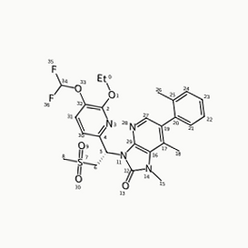 CCOc1nc([C@@H](CS(C)(=O)=O)n2c(=O)n(C)c3c(C)c(-c4ccccc4C)cnc32)ccc1OC(F)F